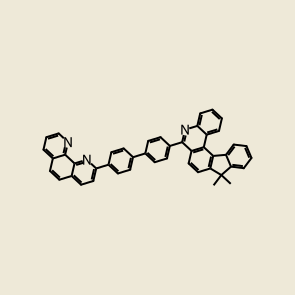 CC1(C)c2ccccc2-c2c1ccc1c(-c3ccc(-c4ccc(-c5ccc6ccc7cccnc7c6n5)cc4)cc3)nc3ccccc3c21